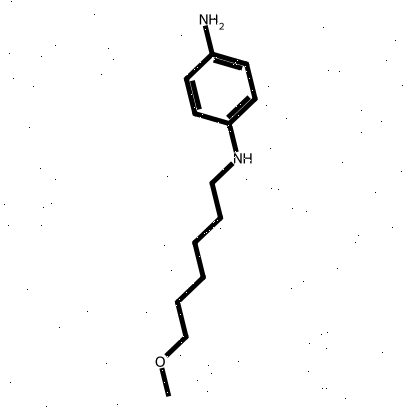 COCCCCCCNc1ccc(N)cc1